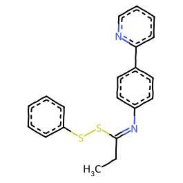 CCC(=Nc1ccc(-c2ccccn2)cc1)SSc1ccccc1